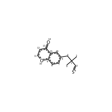 CC(C)(C=S)Cc1ccc2occc(=O)c2c1